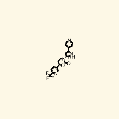 O=C1OC(c2ccc(C(F)(F)F)nc2)CCN1c1cc(-c2ccncc2)n[nH]1